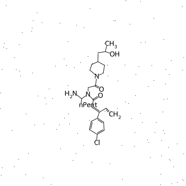 C=C/C(=C\C(=O)N(CC(=O)N1CCC(CC(C)O)CC1)C(N)CCCCC)c1ccc(Cl)cc1